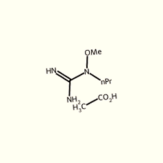 CC(=O)O.CCCN(OC)C(=N)N